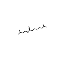 CC(C)CCOCCC(=O)OCCC(C)C